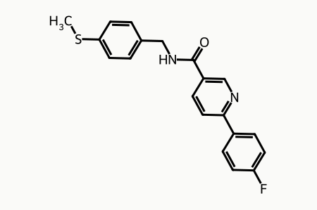 CSc1ccc(CNC(=O)c2ccc(-c3ccc(F)cc3)nc2)cc1